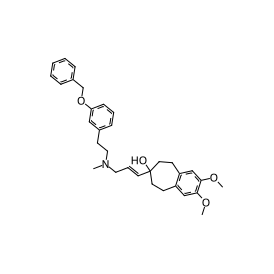 COc1cc2c(cc1OC)CCC(O)(C=CCN(C)CCc1cccc(OCc3ccccc3)c1)CC2